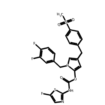 CS(=O)(=O)c1ccc(Cc2cc(OC(=O)Nc3ncc(F)s3)n(Cc3ccc(F)c(F)c3)c2)cc1